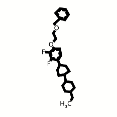 CCC1CCC(C2CCC(c3ccc(OCCOCc4ccccc4)c(F)c3F)CC2)CC1